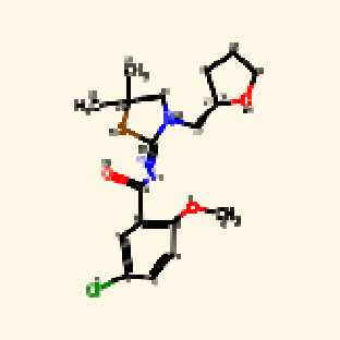 COc1ccc(Cl)cc1C(=O)/N=C1\SC(C)(C)CN1C[C@H]1CCCO1